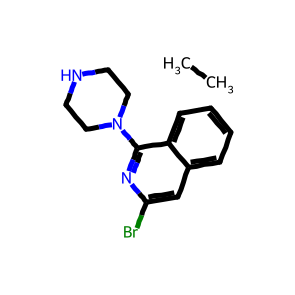 Brc1cc2ccccc2c(N2CCNCC2)n1.CC